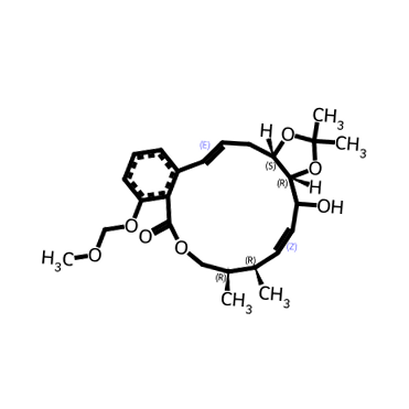 COCOc1cccc2c1C(=O)OC[C@H](C)[C@H](C)/C=C\C(O)[C@H]1OC(C)(C)O[C@H]1C/C=C/2